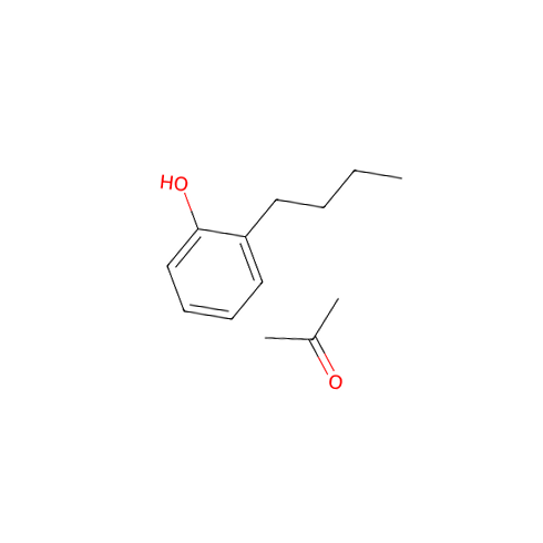 CC(C)=O.CCCCc1ccccc1O